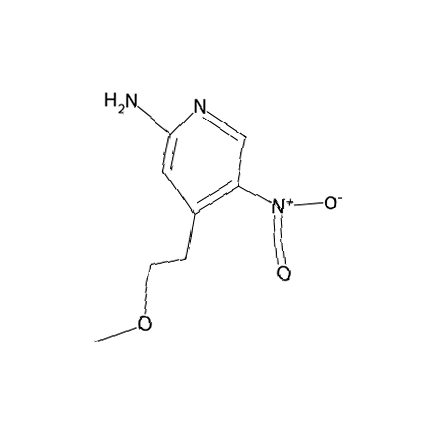 COCCc1cc(N)ncc1[N+](=O)[O-]